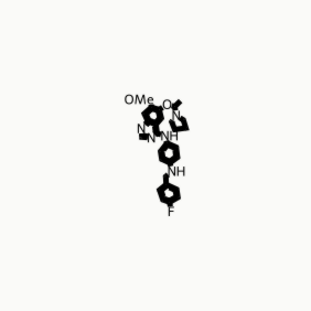 COc1cc2ncnc(Nc3ccc(NCc4ccc(F)cc4)cc3)c2cc1OC(C)N1CCCC1